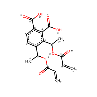 C=CC(=O)OC(C)c1ccc(C(=O)O)c(C(=O)O)c1C(C)OC(=O)C=C